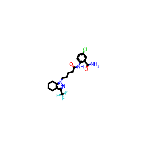 NC(=O)c1cc(Cl)ccc1NC(=O)CCCCn1nc(C(F)(F)F)c2c1CCCC2